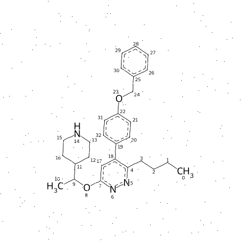 CCCCc1nnc(OC(C)C2CCNCC2)cc1-c1ccc(OCc2ccccc2)cc1